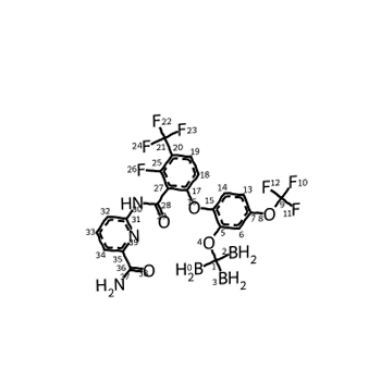 BC(B)(B)Oc1cc(OC(F)(F)F)ccc1Oc1ccc(C(F)(F)F)c(F)c1C(=O)Nc1cccc(C(N)=O)n1